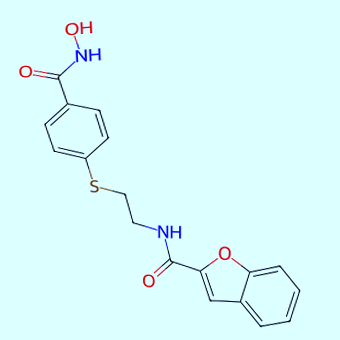 O=C(NO)c1ccc(SCCNC(=O)c2cc3ccccc3o2)cc1